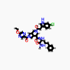 CCOc1cnc(C(=O)N2CC3CN(C(=O)Cc4c[nH]c5cc(Cl)ccc45)CC(C(=O)N[C@@H](CCCc4ccccc4)C(=O)NC)C3C2)cn1